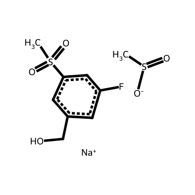 CS(=O)(=O)c1cc(F)cc(CO)c1.CS(=O)[O-].[Na+]